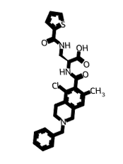 Cc1cc2c(c(Cl)c1C(=O)N[C@@H](CNC(=O)c1cccs1)C(=O)O)CCN(Cc1ccccc1)C2